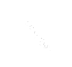 CCCC[C@H]1CC[C@H](C(=O)Oc2ccc(/C=C/C(=O)OCCc3ccc(N)cc3N)cc2)CC1